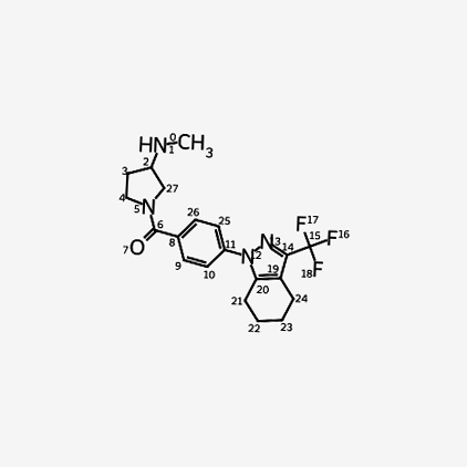 CNC1CCN(C(=O)c2ccc(-n3nc(C(F)(F)F)c4c3CCCC4)cc2)C1